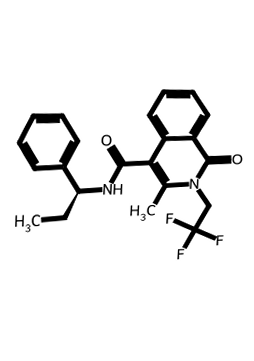 CC[C@H](NC(=O)c1c(C)n(CC(F)(F)F)c(=O)c2ccccc12)c1ccccc1